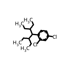 CCC(CC)C(c1ccc(Cl)cc1Cl)C(CC)CC